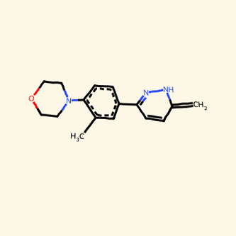 C=C1C=CC(c2ccc(N3CCOCC3)c(C)c2)=NN1